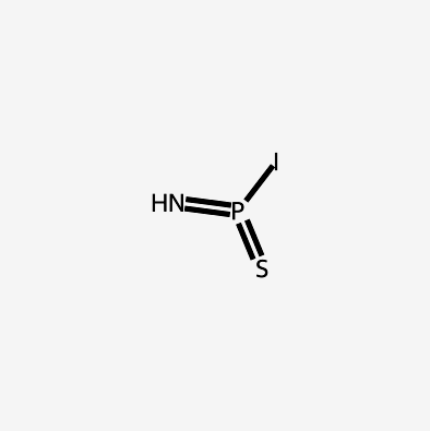 N=P(=S)I